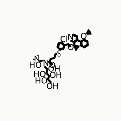 CN(C)C(O)CN(C[C@H](O)[C@@H](O)[C@H](O)[C@H](O)CO)C(=O)CCCSc1ccc(Cl)c(COC2(c3cnccc3-c3ccccc3OC3CC3)CC2)c1